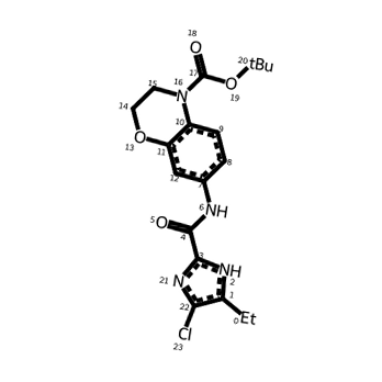 CCc1[nH]c(C(=O)Nc2ccc3c(c2)OCCN3C(=O)OC(C)(C)C)nc1Cl